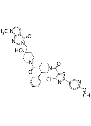 COc1ccc(-c2nc(Cl)c(C(=O)N3CC[C@@H](C(=O)N4CCC(O)(Cn5cnc6c(ccn6C)c5=O)CC4)[C@H](c4ccccc4)C3)s2)cn1